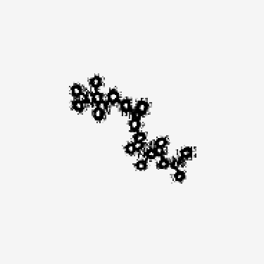 c1ccc(-c2cc(-c3cccc(-c4nc5ccccc5c5c4cc(-c4ccccc4)c4nc(-c6ccccc6)c(-c6ccc(-c7ccc8c(c7)c7ccccc7n8-c7ccc(-c8cccc(-c9nc%10ccccc%10c%10c9cc(-c9ccccc9)c9nc(-c%11ccccc%11)c(-c%11ccccc%11)nc9%10)c8)cc7)cc6)nc45)c3)nc(-c3ccccc3)n2)cc1